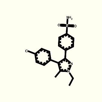 CCn1nc(-c2ccc(S(N)(=O)=O)cc2)c(-c2ccc(Cl)cc2)c1C